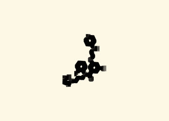 O=C(c1cc(Cl)cc(OCCNc2ccncc2)c1)N(CCCn1ncnn1)c1ccccc1F